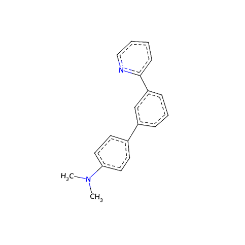 CN(C)c1ccc(-c2cccc(-c3ccccn3)c2)cc1